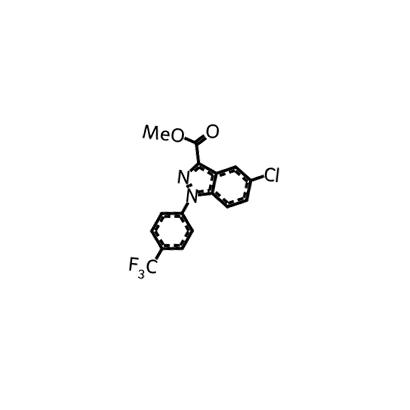 COC(=O)c1nn(-c2ccc(C(F)(F)F)cc2)c2ccc(Cl)cc12